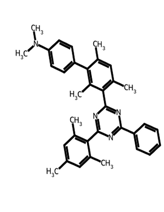 Cc1cc(C)c(-c2nc(-c3ccccc3)nc(-c3c(C)cc(C)c(-c4ccc(N(C)C)cc4)c3C)n2)c(C)c1